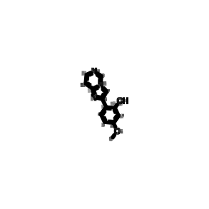 COc1ccc(-c2cn3cnccc3n2)c(O)c1